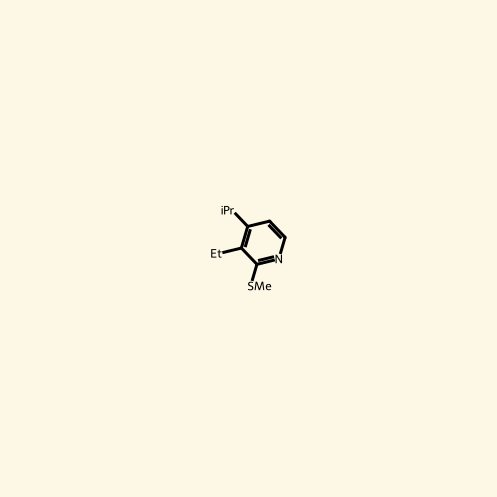 CCc1c(C(C)C)ccnc1SC